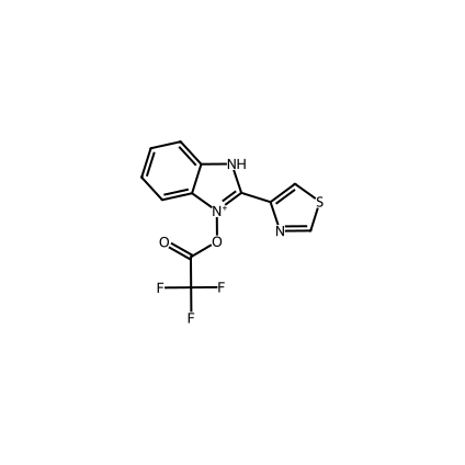 O=C(O[n+]1c(-c2cscn2)[nH]c2ccccc21)C(F)(F)F